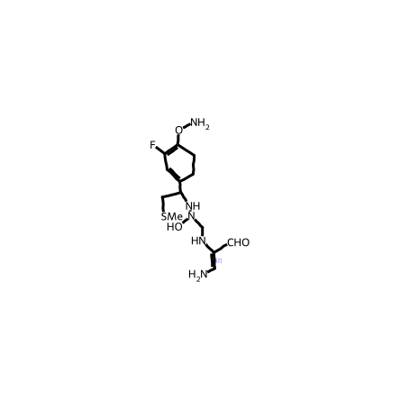 CSCC(NN(O)CN/C(C=O)=C\N)C1=CC(F)=C(ON)CC1